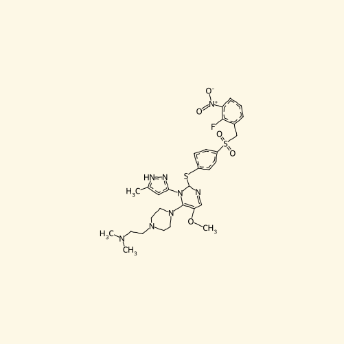 COC1=C(N2CCN(CCN(C)C)CC2)N(c2cc(C)[nH]n2)C(Sc2ccc(S(=O)(=O)Cc3cccc([N+](=O)[O-])c3F)cc2)N=C1